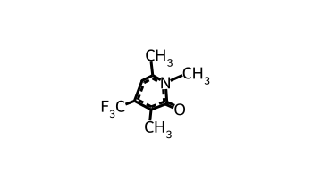 Cc1c(C(F)(F)F)cc(C)n(C)c1=O